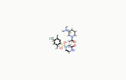 Cc1cc(S(=O)(=O)N2C=CNC(=O)[C@H]2CC(=O)N2CCC[C@H](N(C)C)C2)c(C)cc1Cl